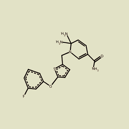 NC(=O)C1=CN(Cc2ccc(Oc3cccc(F)c3)s2)C(N)(N)C=C1